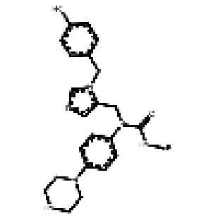 CCCNC(=O)N(Cc1cncn1Cc1ccc(C#N)cc1)c1ccc(N2CCNCC2)cc1